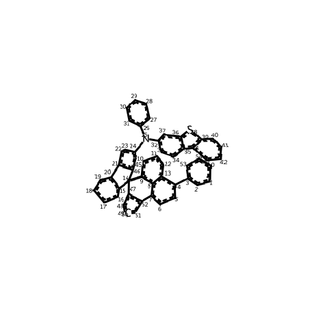 c1ccc(-c2ccc3c4c(cccc24)C2(c4ccccc4-c4ccc(N(c5ccccc5)c5ccc6c(c5)sc5ccccc56)cc42)c2ccccc2-3)cc1